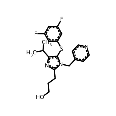 CC(C)c1nc(CCCO)n(Cc2ccncc2)c1Sc1cc(F)cc(F)c1